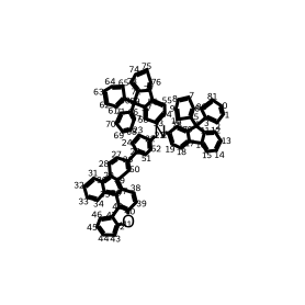 c1ccc(C2(c3ccccc3)c3ccccc3-c3ccc(N(c4ccc(-c5ccc6c7ccccc7c7c(ccc8oc9ccccc9c87)c6c5)cc4)c4ccc5c(c4)C(c4ccccc4)(c4ccccc4)c4ccccc4-5)cc32)cc1